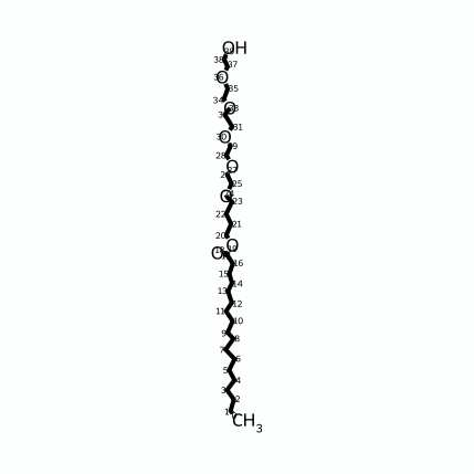 CCCCCCCCCCCCCCCCCC(=O)OCCCCOCCOCCOCCOCCOCCO